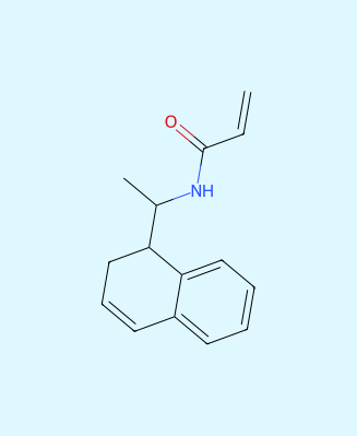 C=CC(=O)NC(C)C1CC=Cc2ccccc21